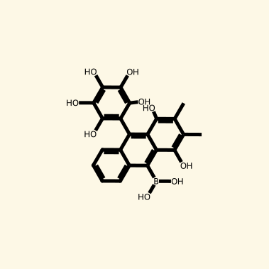 Cc1c(C)c(O)c2c(-c3c(O)c(O)c(O)c(O)c3O)c3ccccc3c(B(O)O)c2c1O